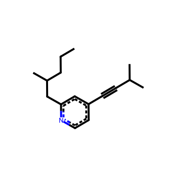 CCCC(C)Cc1cc(C#CC(C)C)ccn1